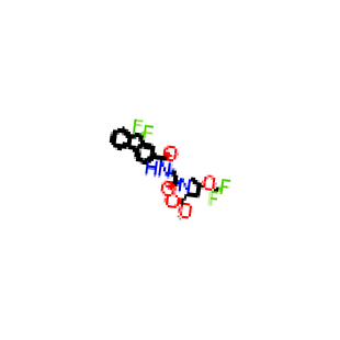 COC(=O)[C@@H]1C[C@@H](OC(F)F)CN1C(=O)CNC(=O)c1ccc2c(c1)C(F)(F)c1ccccc1-2